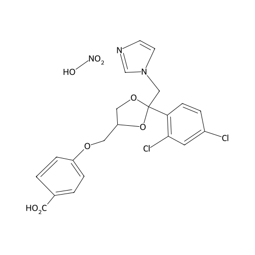 O=C(O)c1ccc(OCC2COC(Cn3ccnc3)(c3ccc(Cl)cc3Cl)O2)cc1.O=[N+]([O-])O